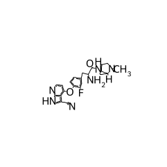 CN1C[C@@H]2C[C@H]1CN2C(=O)[C@@H](N)Cc1ccc(Oc2ccnc3[nH]cc(C#N)c23)c(F)c1